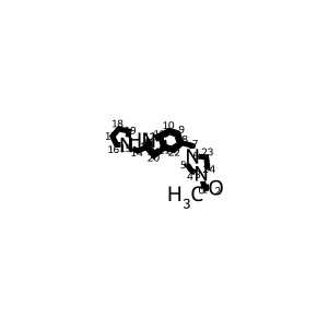 CC(=O)N1CCN(Cc2ccc3[nH]c(CN4CCCC4)cc3c2)CC1